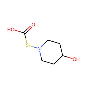 O=C(O)SN1CCC(O)CC1